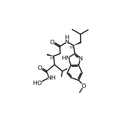 COc1ccc2[nH]c([C@H](CC(C)C)NC(=O)C[C@H](C)C(C(=O)NO)C(C)C)nc2c1